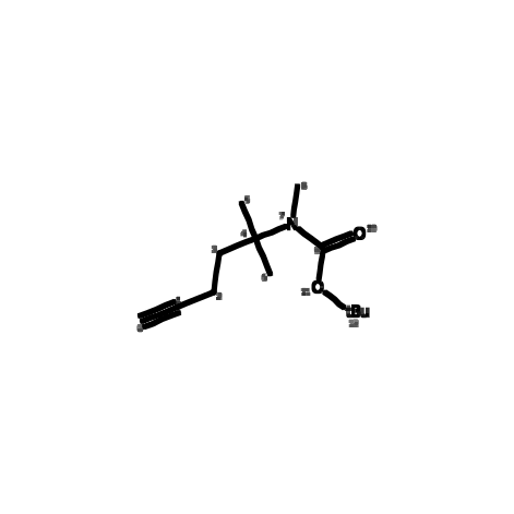 C#CCCC(C)(C)N(C)C(=O)OC(C)(C)C